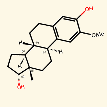 COc1cc2c(cc1O)CC[C@@H]1[C@@H]2CC[C@]2(C)[C@H](O)CC[C@@H]12